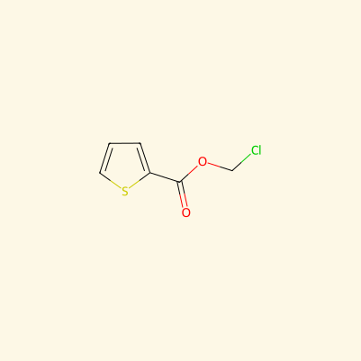 O=C(OCCl)c1cccs1